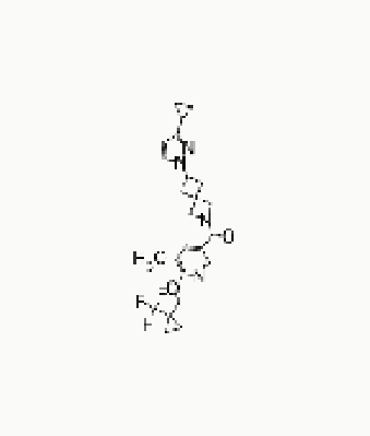 Cc1cc(C(=O)N2CC3(CC(n4ccc(C5CC5)n4)C3)C2)cnc1OCC1(C(F)(F)F)CC1